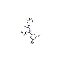 CCOC(=O)/C=C(\C)c1cc(F)cc(Br)c1